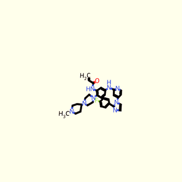 C=CC(=O)Nc1cc(Nc2cc(-n3ccnc3-c3ccc(F)cc3)ccn2)ccc1N1CCN(C2CCN(C)CC2)CC1